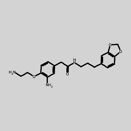 NCCOc1ccc(CC(=O)NCCCc2ccc3c(c2)OCO3)cc1N